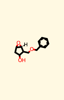 OC1CC2O[C@H]2C1COCc1ccccc1